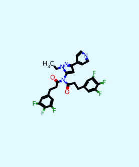 CCn1nc(-c2ccncc2)cc1N(C(=O)CCc1cc(F)c(F)c(F)c1)C(=O)CCc1cc(F)c(F)c(F)c1